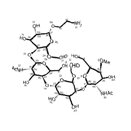 CO[C@@H]1C(CO)O[C@H](O[C@@H]2C(OC=O)O[C@@H](O[C@@H]3C(CO)O[C@H](O[C@@H]4C(OC=O)O[C@@H](OCCN)[C@@H](O)C4O)[C@@H](NC(C)=O)C3O)[C@@H](O)C2O)[C@@H](NC(C)=O)C1O